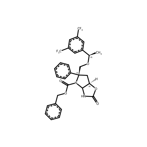 C[C@@H](OC[C@@]1(c2ccccc2)C[C@H]2OC(=O)NC2N1C(=O)OCc1ccccc1)c1cc(C(F)(F)F)cc(C(F)(F)F)c1